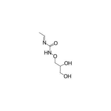 CC=NC(=O)NOCC(O)CO